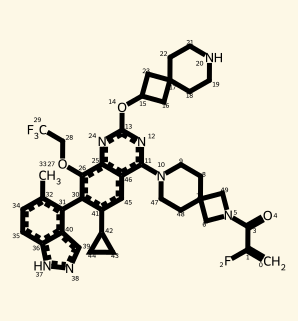 C=C(F)C(=O)N1CC2(CCN(c3nc(OC4CC5(CCNCC5)C4)nc4c(OCC(F)(F)F)c(-c5c(C)ccc6[nH]ncc56)c(C5CC5)cc34)CC2)C1